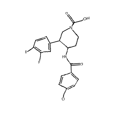 O=C(NC1CCN(C(=O)O)CC1c1ccc(F)c(F)c1)c1ccc(Cl)cc1